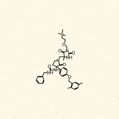 Cc1ccc(C)c(COc2ccc(C3(NC(=O)NCc4ccccc4)CCN(CC4(C)NC(=O)N(COCC[Si](C)(C)C)C4=O)C3=O)cc2)c1